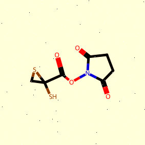 O=C1CCC(=O)N1OC(=O)C1(S)CS1